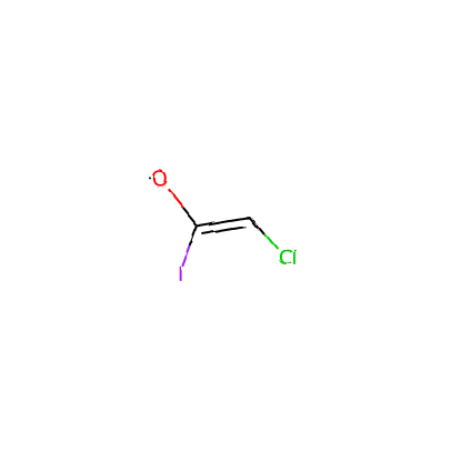 [O]/C(I)=C/Cl